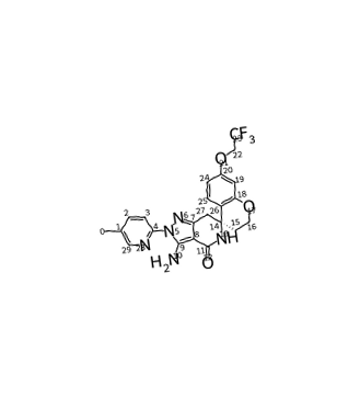 Cc1ccc(-n2nc3c(c2N)C(=O)N[C@@]2(CCOc4cc(OCC(F)(F)F)ccc42)C3)nc1